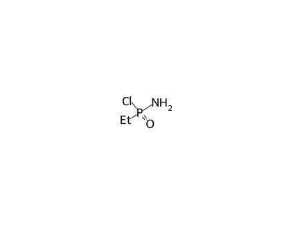 CCP(N)(=O)Cl